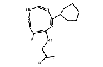 C=C(CC)CNc1nc(N2CCCCC2)nc[nH]ncc1F